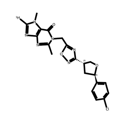 [2H]c1nc2nc(C)n(Cc3nc([C@@H]4CO[C@@H](c5ccc(Cl)cc5)C4)no3)c(=O)c2n1C